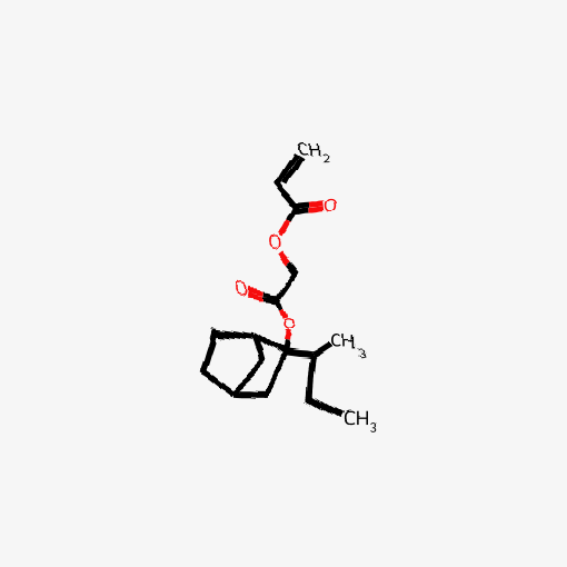 C=CC(=O)OCC(=O)OC1(C(C)CC)CC2CCC1C2